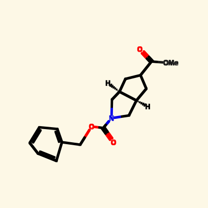 COC(=O)C1C[C@@H]2CN(C(=O)OCc3ccccc3)C[C@@H]2C1